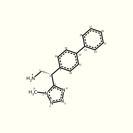 Cn1nnnc1[C@H](CN)c1ccc(-c2ccccc2)cc1